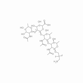 CC(=O)NC1C(O)[C@H](O)C(C)O[C@H]1O[C@H]1C(O)[C@H](O)C(C(=O)O)O[C@H]1OC1C(NC(C)=O)[C@H](OC2C(NC(C)=O)[C@H](OCC(F)(F)CN)OC(C)[C@@H]2O)OC(C)[C@H]1O